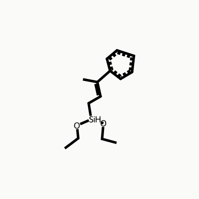 CCO[SiH](CC=C(C)c1ccccc1)OCC